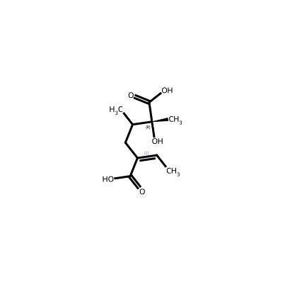 C/C=C(/CC(C)[C@@](C)(O)C(=O)O)C(=O)O